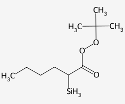 CCCCC([SiH3])C(=O)OOC(C)(C)C